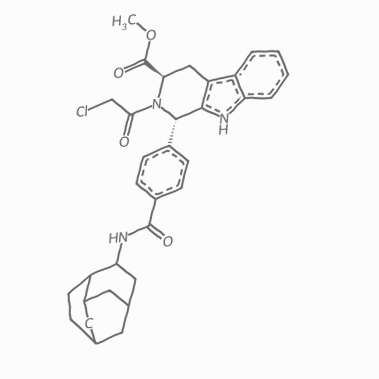 COC(=O)[C@H]1Cc2c([nH]c3ccccc23)[C@H](c2ccc(C(=O)NC3CC4CC5CCC3C(C5)C4)cc2)N1C(=O)CCl